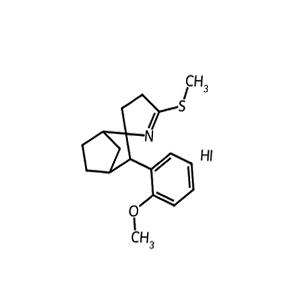 COc1ccccc1C1C2CCC(C2)C12CCC(SC)=N2.I